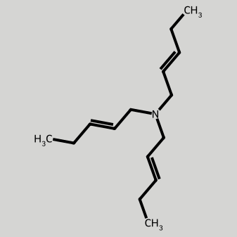 CC/C=C/CN(C/C=C/CC)C/C=C/CC